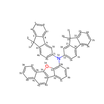 CC1(C)c2ccccc2-c2cc(N(c3ccc4c(c3)C(C)(C)c3ccccc3-4)c3cccc4c3oc3c5ccccc5ccc43)ccc21